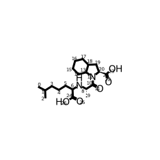 CC(C)CCCC(N[C@@H](C)C(=O)N1C2CCCCC2C[C@H]1C(=O)O)C(=O)O